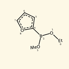 CCOB(OC)c1ccco1